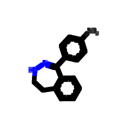 O=[N+]([O-])c1ccc(C2=NNCCc3ccccc32)cc1